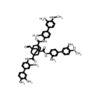 CNc1ccc(-c2ccc(NC(=O)C34CC5(C=O)CC(C(=O)Nc6ccc(-c7ccc(N)c(N)c7)cc6N)(C3)CC(C(=O)Nc3ccc(-c6ccc(NC)c(N)c6)cc3N)(C5)C4)c(N)c2)cc1N